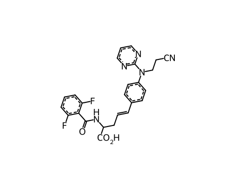 N#CCCN(c1ccc(/C=C/CC(NC(=O)c2c(F)cccc2F)C(=O)O)cc1)c1ncccn1